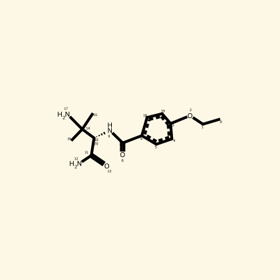 CCOc1ccc(C(=O)N[C@H](C(N)=O)C(C)(C)N)cc1